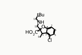 CC1c2c(Cl)cccc2OC1(CNCC(C)(C)C)C(=O)O